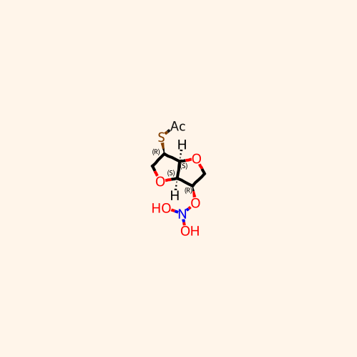 CC(=O)S[C@@H]1CO[C@H]2[C@@H]1OC[C@H]2ON(O)O